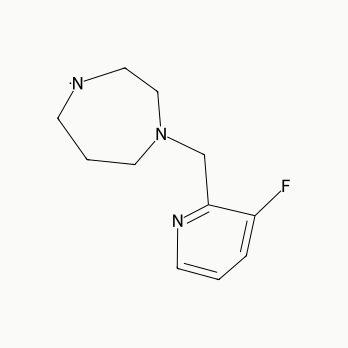 Fc1cccnc1CN1CCC[N]CC1